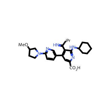 COC1CCN(c2ccc(-c3cc(C(=O)O)nc(NC4CCCCC4)c3C(=N)C(C)C)cn2)C1